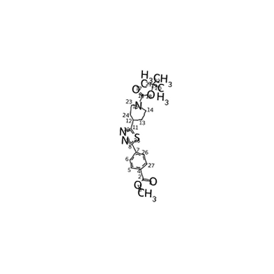 COC(=O)c1ccc(-c2nnc(C3CCN(C(=O)OC(C)(C)C)CC3)s2)cc1